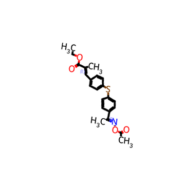 CCOC(=O)/C(C)=C/c1ccc(Sc2ccc(/C(C)=N/OC(C)=O)cc2)cc1